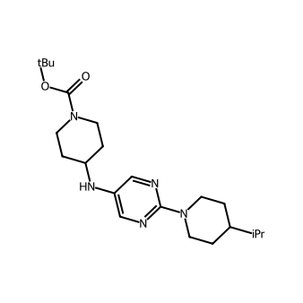 CC(C)C1CCN(c2ncc(NC3CCN(C(=O)OC(C)(C)C)CC3)cn2)CC1